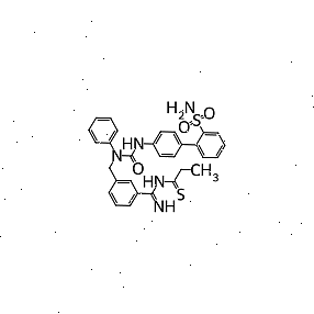 CCC(=S)NC(=N)c1cccc(CN(C(=O)Nc2ccc(-c3ccccc3S(N)(=O)=O)cc2)c2ccccc2)c1